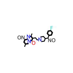 Cc1cc(N=O)c2nc(C)c(CCN3CCC(C(N=O)c4ccc(F)cc4)CC3)c(=O)n2c1